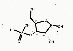 O=P(O)(O)O[C@H]1[C@@H](O)[C@@H](O)O[C@@H]1CO